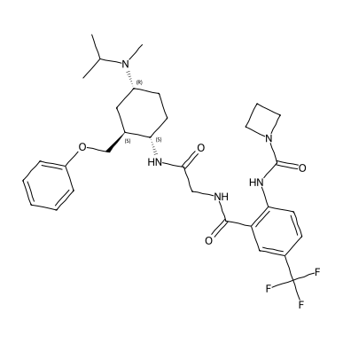 CC(C)N(C)[C@@H]1CC[C@H](NC(=O)CNC(=O)c2cc(C(F)(F)F)ccc2NC(=O)N2CCC2)[C@@H](COc2ccccc2)C1